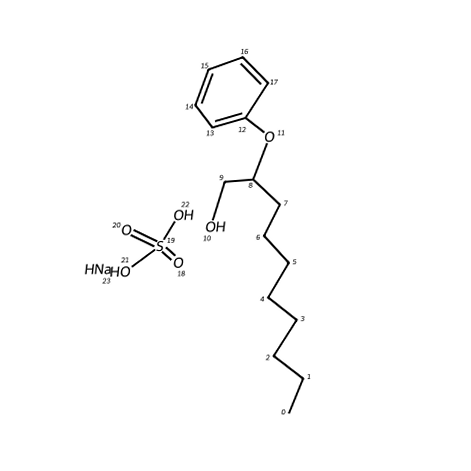 CCCCCCCCC(CO)Oc1ccccc1.O=S(=O)(O)O.[NaH]